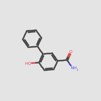 NC(=O)c1ccc(O)c(-c2ccccc2)c1